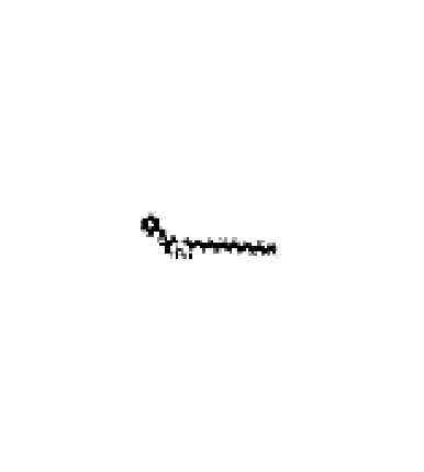 CC(C)(C)CC(COCCCCCCCCCCCCCCCCl)OCc1ccccc1